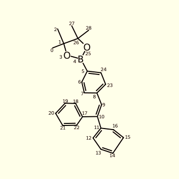 CC1(C)OB(c2ccc(C=C(c3ccccc3)c3ccccc3)cc2)OC1(C)C